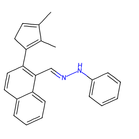 CC1=CCC(c2ccc3ccccc3c2C=NNc2ccccc2)=C1C